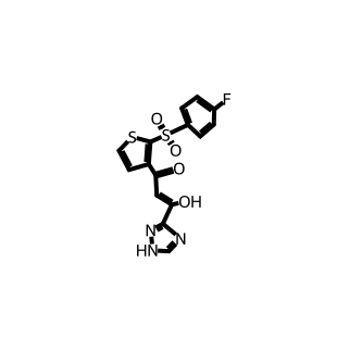 O=C(C=C(O)c1nc[nH]n1)c1ccsc1S(=O)(=O)c1ccc(F)cc1